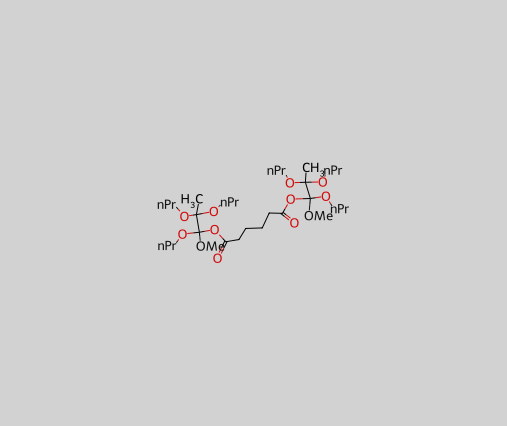 CCCOC(C)(OCCC)C(OC)(OCCC)OC(=O)CCCCC(=O)OC(OC)(OCCC)C(C)(OCCC)OCCC